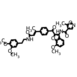 COc1ccc(CCNC(=O)C=C(C)c2ccc(C(=O)c3oc4c(OC)cccc4c3NC(=O)c3cnoc3C)cc2)cc1OC